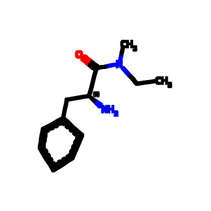 CCN(C)C(=O)[C@@H](N)Cc1ccccc1